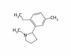 CCc1ccc(C)cc1C1CCCN1C